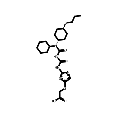 CCCO[C@H]1CC[C@H](N(C(=O)NC(=O)Nc2ncc(SCC(=O)O)s2)C2CCCCC2)CC1